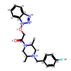 CC1CN(C(=O)COn2nnc3ccccc32)C(C)CN1Cc1ccc(F)cc1